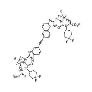 COC(=O)N[C@H](C(=O)N1[C@@H]2C[C@H]2C[C@H]1c1nc2cc(C#Cc3ccc4c(ccc5nc([C@@H]6C[C@H]7C[C@H]7N6C(=O)[C@@H](NC(=O)O)C6CCC(F)(F)CC6)[nH]c54)c3)ccc2[nH]1)C1CCC(F)(F)CC1